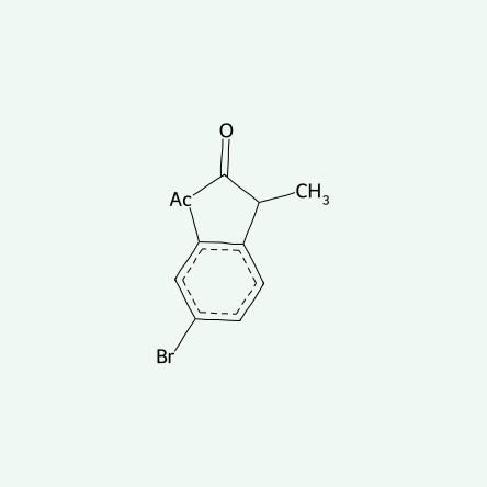 CC1[C](=O)[Ac][c]2cc(Br)ccc21